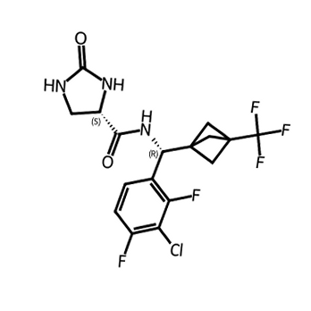 O=C1NC[C@@H](C(=O)N[C@@H](c2ccc(F)c(Cl)c2F)C23CC(C(F)(F)F)(C2)C3)N1